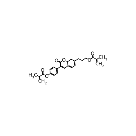 C=C(C)C(=O)OCCCC1=CC=C2C=C(c3ccc(OC(=O)C(=C)C)cc3)C(=O)OC2C1